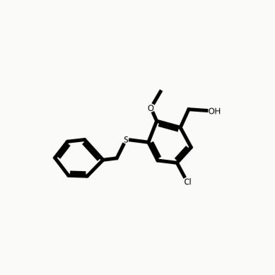 COc1c(CO)cc(Cl)cc1SCc1ccccc1